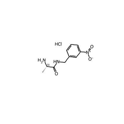 C[C@H](N)C(=O)NCc1cccc([N+](=O)[O-])c1.Cl